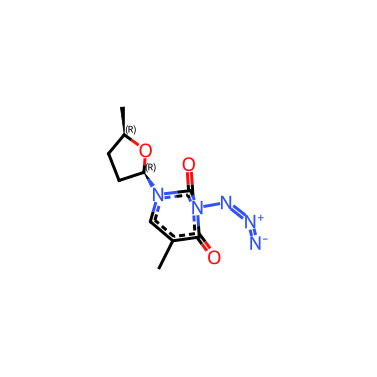 Cc1cn([C@H]2CC[C@@H](C)O2)c(=O)n(N=[N+]=[N-])c1=O